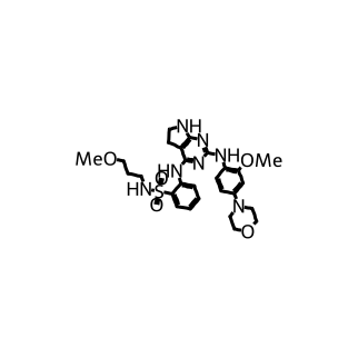 COCCCNS(=O)(=O)c1ccccc1Nc1nc(Nc2ccc(N3CCOCC3)cc2OC)nc2c1CCN2